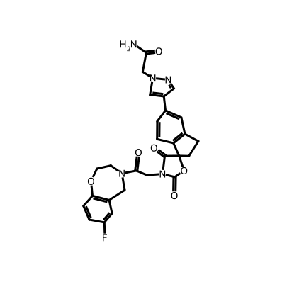 NC(=O)Cn1cc(-c2ccc3c(c2)CCC32OC(=O)N(CC(=O)N3CCOc4ccc(F)cc4C3)C2=O)cn1